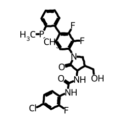 CP(C)c1ccccc1-c1ccc(N2CC(CO)C(NC(=O)Nc3ccc(Cl)cc3F)C2=O)c(F)c1F